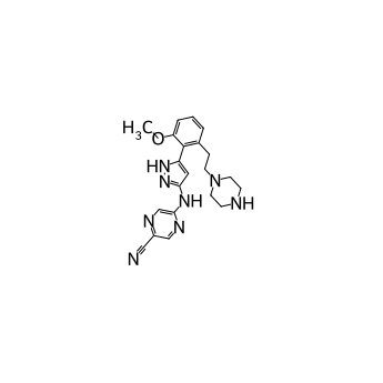 COc1cccc(CCN2CCNCC2)c1-c1cc(Nc2cnc(C#N)cn2)n[nH]1